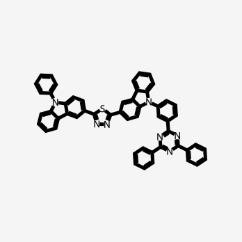 c1ccc(-c2nc(-c3ccccc3)nc(-c3cccc(-n4c5ccccc5c5cc(-c6nnc(-c7ccc8c(c7)c7ccccc7n8-c7ccccc7)s6)ccc54)c3)n2)cc1